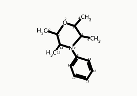 CC1OC(C)C(C)N(c2ccccc2)C1C